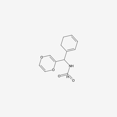 O=[SH](=O)NC(C1=CC=CCC1)C1=COC=CO1